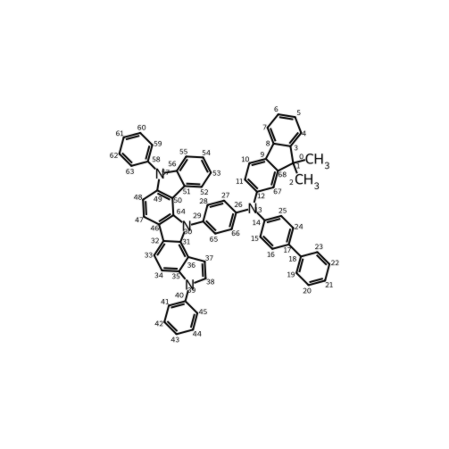 CC1(C)c2ccccc2-c2ccc(N(c3ccc(-c4ccccc4)cc3)c3ccc(-n4c5c(ccc6c5ccn6-c5ccccc5)c5ccc6c(c7ccccc7n6-c6ccccc6)c54)cc3)cc21